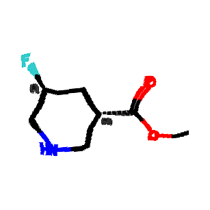 COC(=O)[C@@H]1CNC[C@@H](F)C1